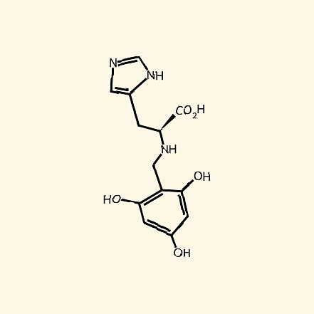 O=C(O)[C@H](Cc1cnc[nH]1)NCc1c(O)cc(O)cc1O